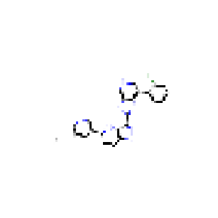 COc1cncc(-c2ccc3[nH]nc(-c4nc5c(-c6ccccc6F)cncc5[nH]4)c3n2)c1